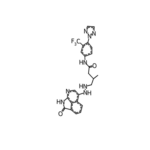 CC(CNNc1cnc2c3c(cccc13)C(=O)N2)CC(=O)Nc1ccc(-n2nccn2)c(C(F)(F)F)c1